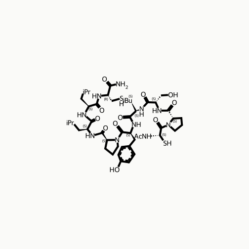 CC[C@H](C)[C@H](NC(=O)[C@H](CO)NC(=O)[C@@H]1CCCN1C(=O)[C@H](S)NC(C)=O)C(=O)N[C@@H](Cc1ccc(O)cc1)C(=O)N1CCC[C@H]1C(=O)N[C@@H](CC(C)C)C(=O)N[C@@H](CC(C)C)C(=O)N[C@@H](CS)C(N)=O